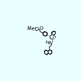 COC(=O)Cc1ccc([C@H]2C[C@H](CNCCc3cccc4ccccc34)Oc3ccccc32)cc1